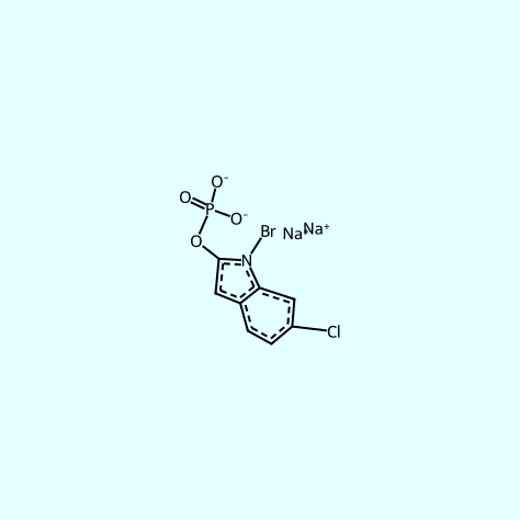 O=P([O-])([O-])Oc1cc2ccc(Cl)cc2n1Br.[Na+].[Na+]